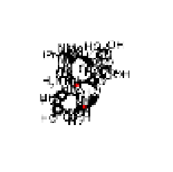 CN[C@H](CC(C)C)C(=O)N[C@H]1C(=O)N[C@@H](CC(N)=O)C(=O)N[C@H]2C(=O)NC3C(=O)N[C@H](C(=O)N[C@@H](C(=O)O)c4cc(O)cc(O)c4-c4cc3ccc4O)[C@H](O)c3ccc(c(Cl)c3)Oc3cc2cc(c3O[C@@H]2O[C@H](CO)[C@@H](OC3O[C@H](CO)[C@H](O)[C@H](O)[C@H]3O)[C@H](O)[C@H]2O)Oc2ccc(cc2Cl)[C@H]1O